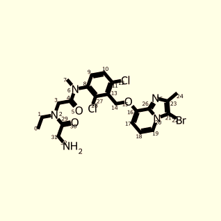 CCN(CC(=O)N(C)c1ccc(Cl)c(COc2cccn3c(Br)c(C)nc23)c1Cl)C(=O)CN